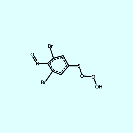 O=Nc1c(Br)cc(SOOO)cc1Br